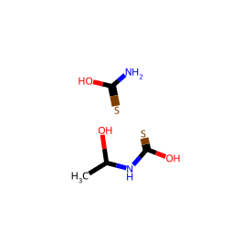 CC(O)NC(O)=S.NC(O)=S